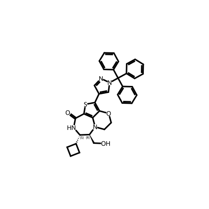 O=C1N[C@@H](C2CCC2)[C@H](CO)N2CCOc3c(-c4cnn(C(c5ccccc5)(c5ccccc5)c5ccccc5)c4)sc1c32